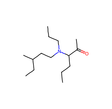 CCCC(C(C)=O)N(CCC)CCC(C)CC